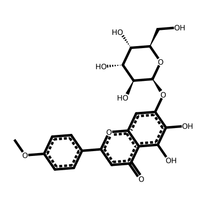 COc1ccc(-c2cc(=O)c3c(O)c(O)c(O[C@@H]4O[C@H](CO)[C@@H](O)[C@@H](O)[C@@H]4O)cc3o2)cc1